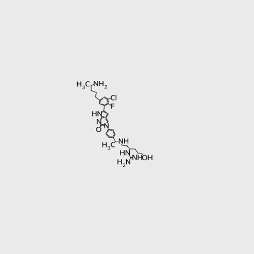 C[C@H](N)CCCc1cc(Cl)c(F)c(-c2cc3cn(-c4ccc([C@H](C)NCC[C@@H](CCCO)NC(=N)N)cc4)c(=O)nc3[nH]2)c1